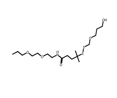 CCCOCCOCCNC(=O)CCC(C)(C)SSCOCCCO